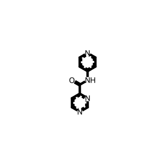 O=C(Nc1ccncc1)c1ccncn1